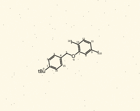 CC(C)(C)c1ccc(COc2cc(I)ccc2I)cc1